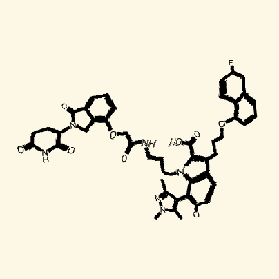 Cc1nn(C)c(C)c1-c1c(Cl)ccc2c(CCCOc3cccc4cc(F)ccc34)c(C(=O)O)n(CCCNC(=O)COc3cccc4c3CN(C3CCC(=O)NC3=O)C4=O)c12